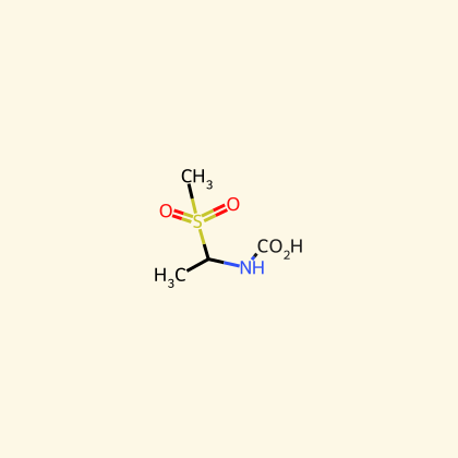 CC(NC(=O)O)S(C)(=O)=O